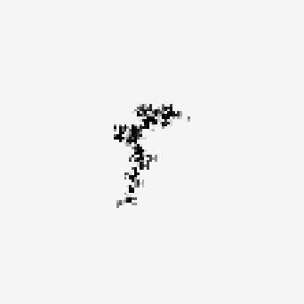 CC(C)C(=O)O.CC(C)C(=O)SCCNC(=O)CCNC(=O)C(O)C(C)(C)COP(=O)(O)OP(=O)(O)OC[C@H]1O[C@@H](n2cnc3c(N)ncnc32)[C@H](O)[C@@H]1OP(=O)(O)O